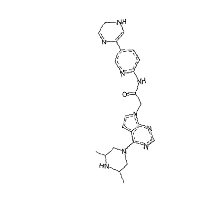 CC1CN(c2ncnc3c2ccn3CC(=O)Nc2ccc(C3=CNCC=N3)cn2)CC(C)N1